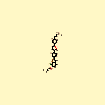 CCCC1CCC(C2CCC(c3ccc(-c4cc5ccc(OCC)c(F)c5s4)cc3)CO2)CC1